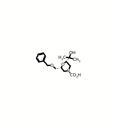 CC(C)(O)[C@@H]1CN(C(=O)O)C[C@H](COCc2ccccc2)O1